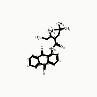 CCC(C)C(CC(C)(C)C)C(=O)Nc1cccc2c1C(=O)c1ccccc1C2=O